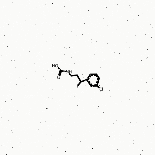 O=C(O)NCCC(I)c1cccc(Cl)c1